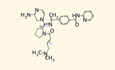 C=C(/N=C(/[C@@H]1CCCN1C(=O)/C=C/CN(C)C)N1C=CN=C(N)C1)c1ccc(C(=O)Nc2ccccn2)cc1